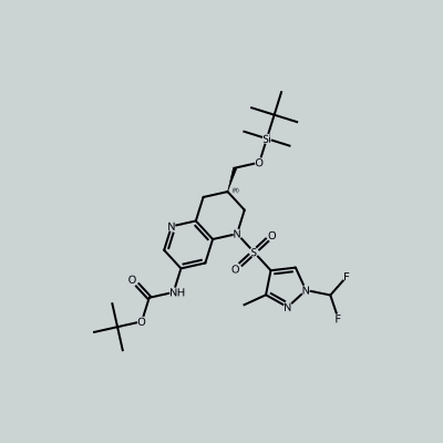 Cc1nn(C(F)F)cc1S(=O)(=O)N1C[C@H](CO[Si](C)(C)C(C)(C)C)Cc2ncc(NC(=O)OC(C)(C)C)cc21